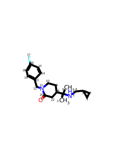 CC(C)(NCC1CC1)C1CCN(Cc2ccc(F)cc2)C(=O)C1